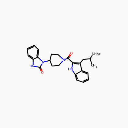 CC(=O)NC(C)Cc1c(C(=O)N2CCC(n3c(=O)[nH]c4ccccc43)CC2)[nH]c2ccccc12